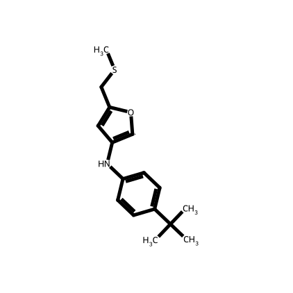 CSCc1cc(Nc2ccc(C(C)(C)C)cc2)[c]o1